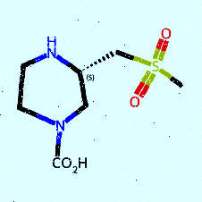 CS(=O)(=O)C[C@@H]1CN(C(=O)O)CCN1